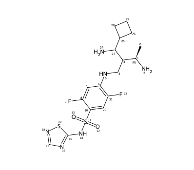 C[C@@H](N)C(CNc1cc(F)c(S(=O)(=O)Nc2ncns2)cc1F)C(N)C1CCC1